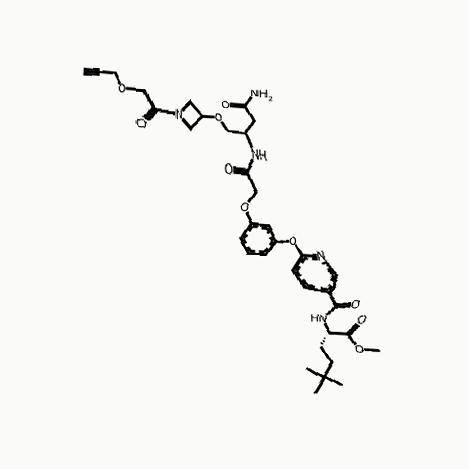 C#CCOCC(=O)N1CC(OCC(CC(N)=O)NC(=O)COc2cccc(Oc3ccc(C(=O)N[C@@H](CCC(C)(C)C)C(=O)OC)cn3)c2)C1